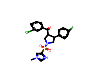 Cn1cnc(S(=O)(=O)N2CC(C(=O)c3cccc(Cl)c3)C(c3ccc(F)cc3)C2)c1